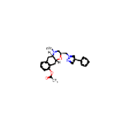 CCCN1C[C@@H](Cn2cc(-c3ccccc3)cn2)O[C@@H]2Cc3c(cccc3OC(=O)C(F)(F)F)C[C@H]21